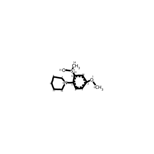 COc1ccc(N2CCCCC2)c([S+](C)[O-])c1